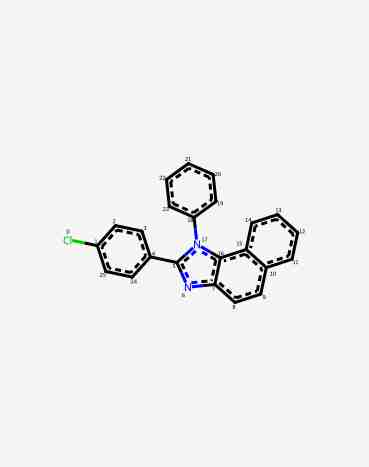 Clc1ccc(-c2nc3ccc4ccccc4c3n2-c2ccccc2)cc1